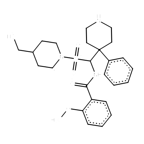 COc1ccccc1C(=O)NC(C1(c2ccccc2)CCNCC1)S(=O)(=O)N1CCC(CO)CC1